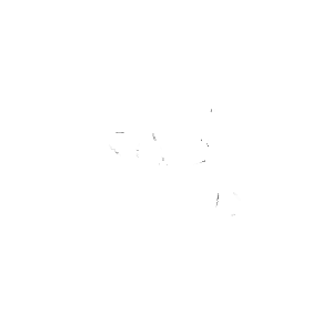 Cc1ccc(S(=O)(=O)OC[C@@H]2C[C@@H](C)CN2C(=O)OCc2ccccc2)cc1